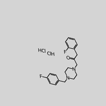 Cl.Cl.O=C(Cc1ccccc1F)CN1CCN(Cc2ccc(F)cc2)CC1